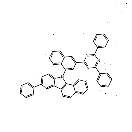 c1ccc(-c2ccc3c(c2)c2ccc4ccccc4c2n3-c2cc(-c3nc(-c4ccccc4)nc(-c4ccccc4)n3)cc3ccccc23)cc1